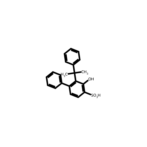 CC(C)(c1ccccc1)c1c(-c2ccccc2)ccc(S(=O)(=O)O)c1O